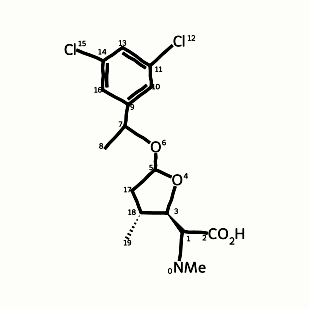 CNC(C(=O)O)[C@@H]1OC(OC(C)c2cc(Cl)cc(Cl)c2)C[C@H]1C